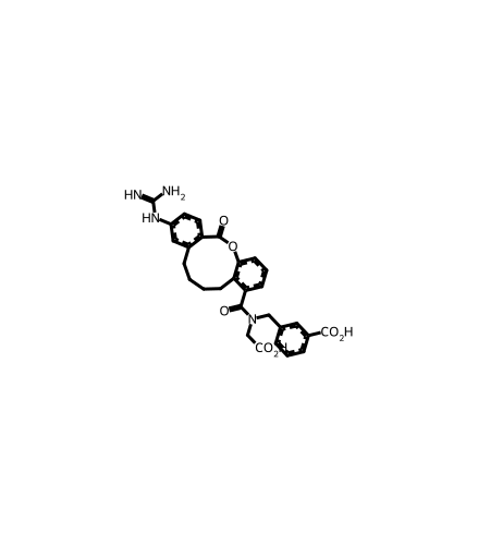 N=C(N)Nc1ccc2c(c1)CCCCc1c(cccc1C(=O)N(CC(=O)O)Cc1cccc(C(=O)O)c1)OC2=O